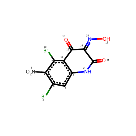 O=C1Nc2cc(Br)c([N+](=O)[O-])c(Br)c2C(=O)/C1=N/O